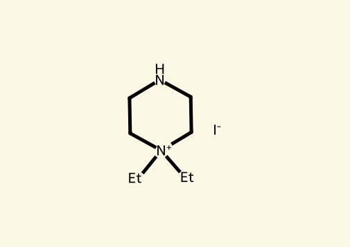 CC[N+]1(CC)CCNCC1.[I-]